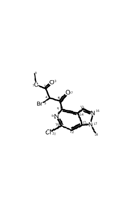 COC(=O)C(Br)C(=O)c1nc(Cl)cc2c1cnn2C